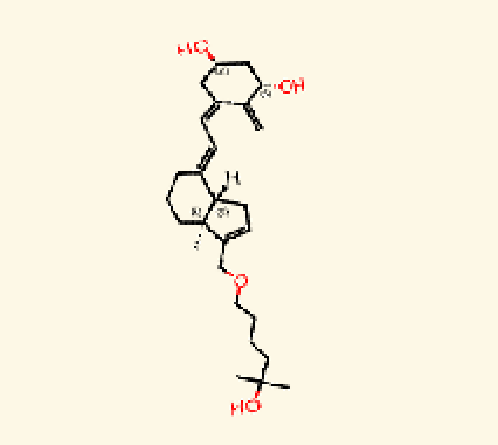 C=C1C(=CC=C2CCC[C@]3(C)C(COCCCCC(C)(C)O)=CC[C@@H]23)C[C@@H](O)C[C@@H]1O